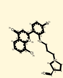 O=C[C@@H]1CCN(CCCOc2cc(Br)ccc2-c2cc(=O)c3cccc(Cl)c3o2)C1